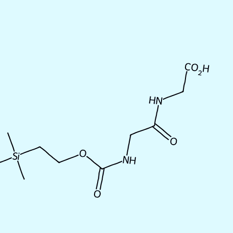 C[Si](C)(C)CCOC(=O)NCC(=O)NCC(=O)O